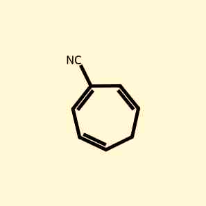 N#CC1=CC=CCC=C1